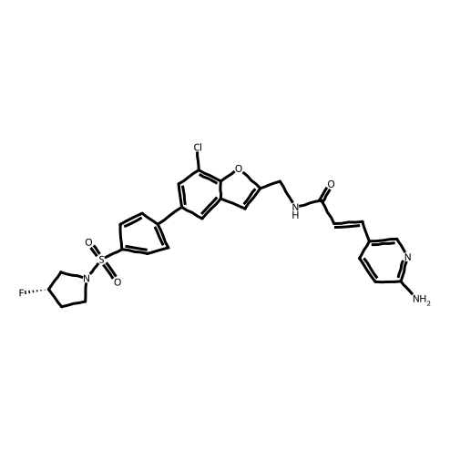 Nc1ccc(C=CC(=O)NCc2cc3cc(-c4ccc(S(=O)(=O)N5CC[C@H](F)C5)cc4)cc(Cl)c3o2)cn1